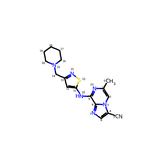 Cc1cn2c(C#N)cnc2c(Nc2cc(CN3CCCCC3)ns2)n1